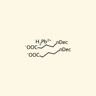 CCCCCCCCCCCCCC(=O)[O-].CCCCCCCCCCCCCC(=O)[O-].[PbH2+2]